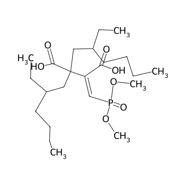 CCCCC(CC)CC(CC(CC)CCCC)(C(=O)O)C(=CP(=O)(OC)OC)C(=O)O